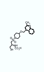 Cc1cc(COC2CCN(S(=O)(=O)CC(CC(C)C)NC(=O)O)CC2)c2ccccc2n1